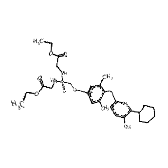 CCOC(=O)CNP(=O)(COc1cc(C)c(Cc2ccc(O)c(C3CCCCC3)n2)c(C)c1)NCC(=O)OCC